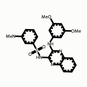 CNc1cccc(S(=O)(=O)Nc2nc3ccccc3nc2Nc2cc(OC)cc(OC)c2)c1